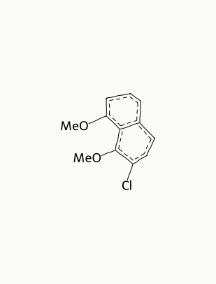 COc1cccc2ccc(Cl)c(OC)c12